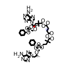 C[C@H](Cn1cnc2c(N)ncnc21)OCP(=O)(OCCC(C)(C)C(=O)OC(=O)/C=C/C(=O)OC(=O)C(C)(C)CCOP(=O)(CO[C@H](C)Cn1cnc2c(N)ncnc21)Oc1ccccc1)Oc1ccccc1